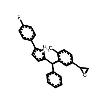 Cc1ccc(C2CO2)cc1C(c1ccccc1)c1ccc(-c2ccc(F)cc2)s1